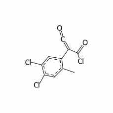 Cc1cc(Cl)c(Cl)cc1C(=C=O)C(=O)Cl